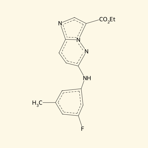 CCOC(=O)c1cnc2ccc(Nc3cc(C)cc(F)c3)nn12